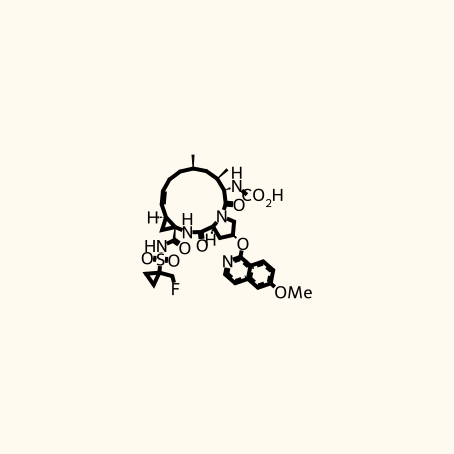 COc1ccc2c(O[C@@H]3C[C@H]4C(=O)N[C@]5(C(=O)NS(=O)(=O)C6(CF)CC6)C[C@H]5/C=C\CC[C@@H](C)C[C@@H](C)[C@H](NC(=O)O)C(=O)N4C3)nccc2c1